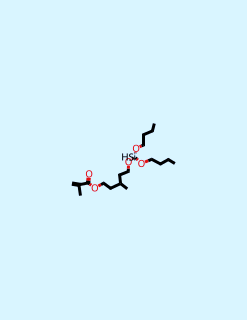 C=C(C)C(=O)OCCC(C)CCO[SiH](OCCCC)OCCCC